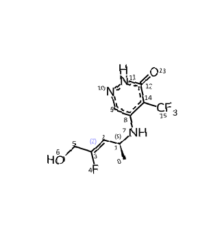 C[C@@H](/C=C(\F)CO)Nc1cn[nH]c(=O)c1C(F)(F)F